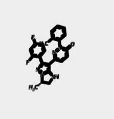 Cc1ccccc1-n1nc(-c2c(-c3ccc(F)cc3F)nn3c2NC[C@@H]3C)ccc1=O